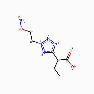 CCC(C(=O)O)c1nnn(CCON)n1